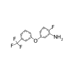 Nc1cc(Oc2cccc(C(F)(F)F)c2)ccc1F